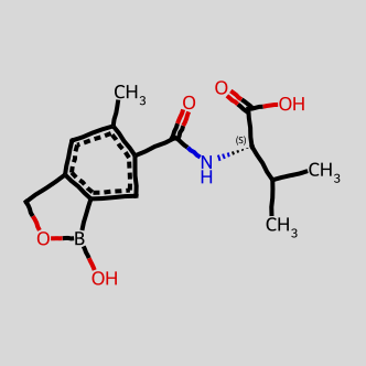 Cc1cc2c(cc1C(=O)N[C@H](C(=O)O)C(C)C)B(O)OC2